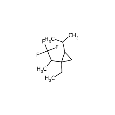 CCC1(C(C)C(F)(F)F)CC1C(C)C